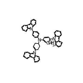 C=C(/C=C\C(=C/C)N(c1ccc(-n2c3ccccc3c3ccccc32)cc1)C1CC=C(n2c3ccccc3c3ccccc32)CC1)n1c2ccccc2c2ccccc21